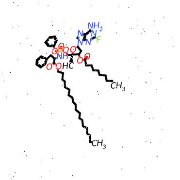 C#CC1(COP(=O)(NC(Cc2ccccc2)C(=O)OCCCCCCCCCCCCCCCCCCCC)Oc2ccccc2)OC(n2cnc3c(N)nc(F)nc32)CC1OC(=O)CCCCCCCCC